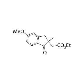 CCOC(=O)CC1(C)Cc2cc(OC)ccc2C1=O